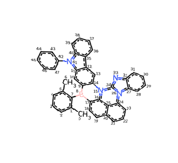 Cc1cccc(C)c1B1c2cc3c(cc2-n2c4c1ccc1cccc(c14)n1c4ccccc4nc21)c1ccccc1n3-c1ccccc1